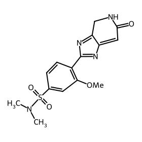 COc1cc(S(=O)(=O)N(C)C)ccc1C1=NC2=CC(=O)NCC2=N1